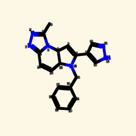 Cc1nnc2n1C1C=C(c3cn[nH]c3)N(Cc3ccccc3)C1C=C2